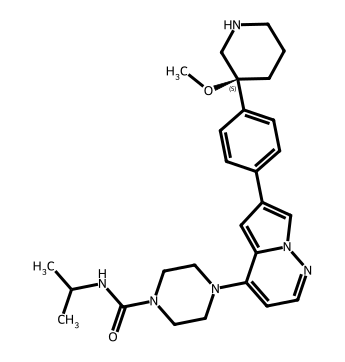 CO[C@]1(c2ccc(-c3cc4c(N5CCN(C(=O)NC(C)C)CC5)ccnn4c3)cc2)CCCNC1